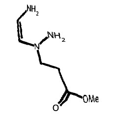 COC(=O)CCN(N)/C=C\N